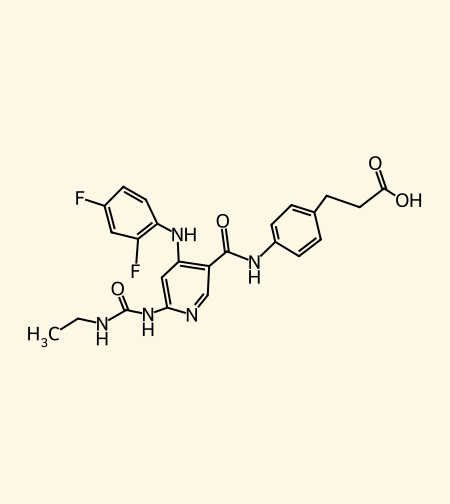 CCNC(=O)Nc1cc(Nc2ccc(F)cc2F)c(C(=O)Nc2ccc(CCC(=O)O)cc2)cn1